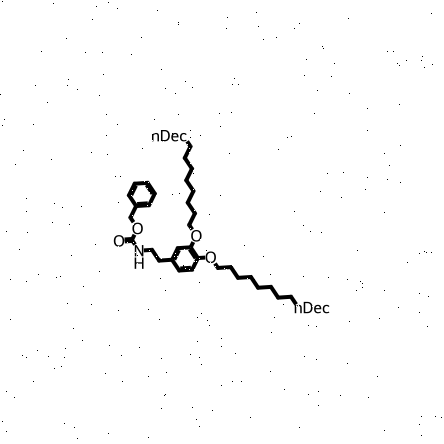 CCCCCCCCCCCCCCCCCCOc1ccc(CCNC(=O)OCc2ccccc2)cc1OCCCCCCCCCCCCCCCCCC